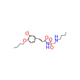 CCCCNCS(=O)(=O)NC(=O)C=Cc1ccc(OCCCC)c(OC)c1